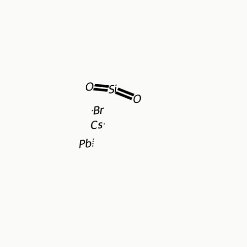 O=[Si]=O.[Br].[Cs].[Pb]